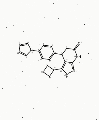 O=C1CC(c2ccc(-n3ccnc3)cc2)c2c(n[nH]c2C2CCC2)N1